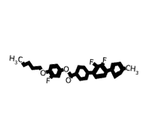 CCCCCOc1ccc(OC(=O)C2CCC(c3ccc(-c4ccc(C)cc4)c(F)c3F)CC2)cc1F